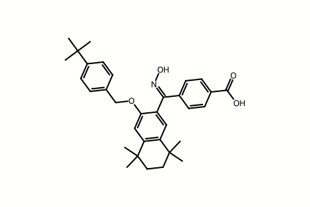 CC(C)(C)c1ccc(COc2cc3c(cc2C(=NO)c2ccc(C(=O)O)cc2)C(C)(C)CCC3(C)C)cc1